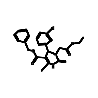 CCOC(=O)CN1C(=O)NC(C)=C(C(=O)OCc2ccccc2)C1c1cccc(Cl)c1